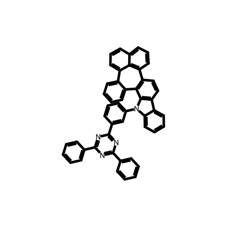 c1ccc(-c2nc(-c3ccccc3)nc(-c3cccc(-n4c5ccccc5c5ccc6c(c54)-c4ccccc4-c4cccc5cccc-6c45)c3)n2)cc1